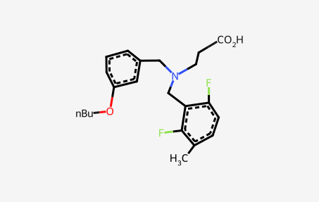 CCCCOc1cccc(CN(CCC(=O)O)Cc2c(F)ccc(C)c2F)c1